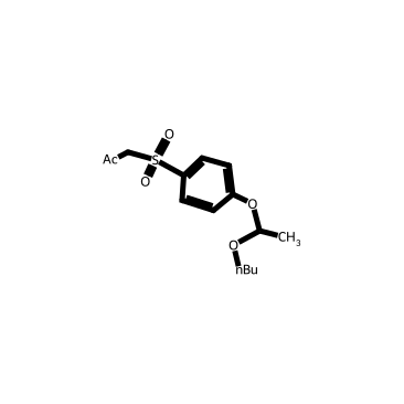 CCCCOC(C)Oc1ccc(S(=O)(=O)CC(C)=O)cc1